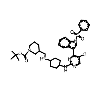 CC(C)(C)OC(=O)N1CCCC(CNC2CCC(Nc3ncc(Cl)c(-c4cn(S(=O)(=O)c5ccccc5)c5ccccc45)n3)CC2)C1